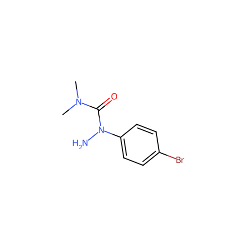 CN(C)C(=O)N(N)c1ccc(Br)cc1